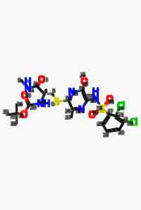 CNC(=O)[C@H](CSc1nc(OC)c(NS(=O)(=O)c2cccc(Cl)c2Cl)nc1C)NC(=O)OC(C)(C)C